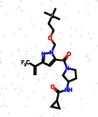 C=C(c1cc(C(=O)N2CCC(NC(=O)C3CC3)C2)n(COCC[Si](C)(C)C)n1)C(F)(F)F